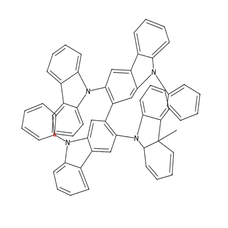 CC12C=CC=CC1N(c1cc3c4ccccc4n(-c4ccccc4)c3cc1-c1cc3c(cc1-n1c4ccccc4c4ccccc41)c1ccccc1n3-c1ccccc1)c1ccccc12